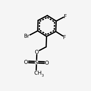 CS(=O)(=O)OCc1c(Br)ccc(F)c1F